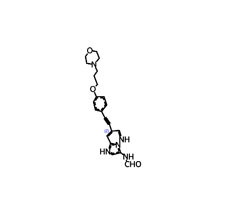 N=C/C(C#Cc1ccc(OCCCN2CCOCC2)cc1)=C\c1nc(NC=O)c[nH]1